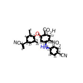 C=C(C#N)c1cc(C)c(Oc2cc(Nc3ccc(C#N)cc3)c([N+](=O)[O-])cc2C(=O)O)c(C)c1